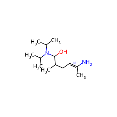 C/C(N)=C\CC(C)C(O)N(C(C)C)C(C)C